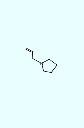 C=CCN1[CH]CCC1